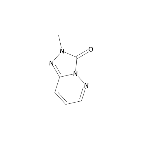 Cn1nc2cccnn2c1=O